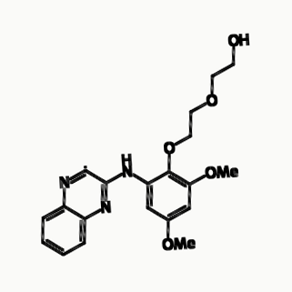 COc1cc(Nc2[c]nc3ccccc3n2)c(OCCOCCO)c(OC)c1